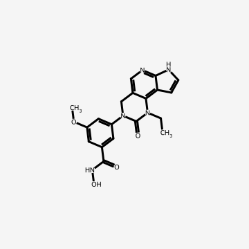 CCN1C(=O)N(c2cc(OC)cc(C(=O)NO)c2)Cc2cnc3[nH]ccc3c21